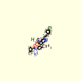 Cc1ccc(NC(=O)c2cccc(C(F)(F)F)c2)cc1-c1cc2cnc(/C=C/c3ccc(Cl)cc3)cc2n(C)c1=O